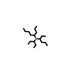 CCCCC(CCC)B(C(CC)CC)C(CC)CCC